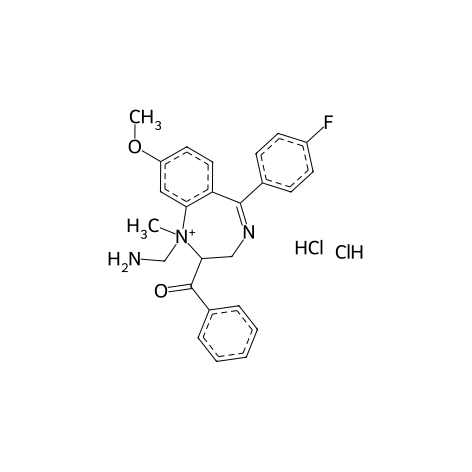 COc1ccc2c(c1)[N+](C)(CN)C(C(=O)c1ccccc1)CN=C2c1ccc(F)cc1.Cl.Cl